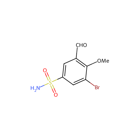 COc1c(Br)cc(S(N)(=O)=O)cc1C=O